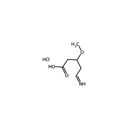 COC(CC=N)CC(=O)O.Cl